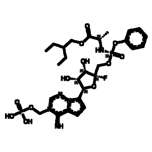 CCC(CC)COC(=O)[C@H](C)N[P@](=O)(OC[C@@]1(F)O[C@@H](c2ccc3c(=N)n(COP(=O)(O)O)cnn23)[C@H](O)[C@@H]1O)Oc1ccccc1